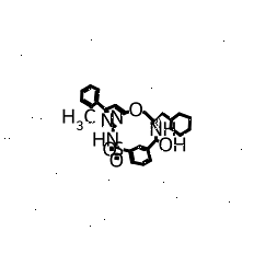 Cc1ccccc1-c1cc2nc(n1)NS(=O)(=O)c1cccc(c1)C(O)N[C@H](CC1CCCCC1)CO2